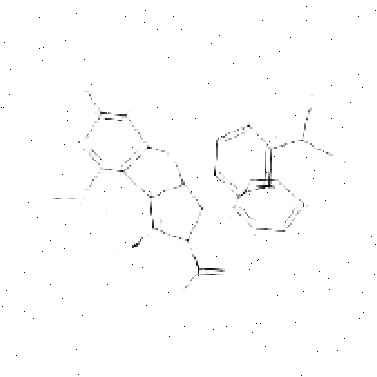 COc1nc(Cl)cc2c1[C@]1(O)[C@H](O)[C@H](C(=O)O)[C@@H](c3ccccc3)[C@]1(c1ccc(C(F)F)cc1)O2